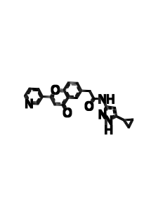 O=C(Cc1ccc2oc(-c3cccnc3)cc(=O)c2c1)Nc1cc(C2CC2)[nH]n1